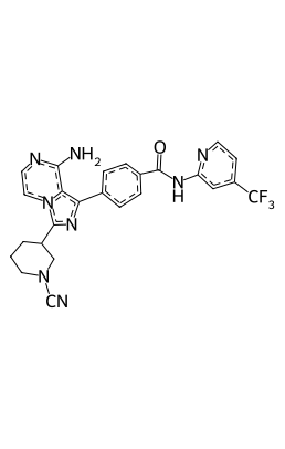 N#CN1CCCC(c2nc(-c3ccc(C(=O)Nc4cc(C(F)(F)F)ccn4)cc3)c3c(N)nccn23)C1